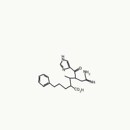 CC([C](CC(=N)N)C(=O)c1c[nH]cn1)C(CCCc1ccccc1)C(=O)O